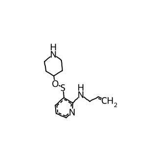 C=CCNc1ncccc1SOC1CCNCC1